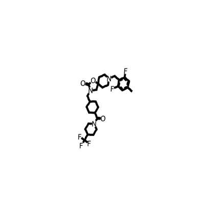 Cc1cc(F)c(CN2CCC3(CC2)CN(CC2CCC(C(=O)N4CCC(C(F)(F)F)CC4)CC2)C(=O)O3)c(F)c1